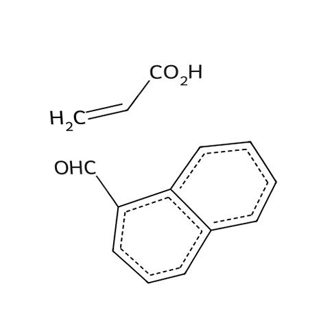 C=CC(=O)O.O=Cc1cccc2ccccc12